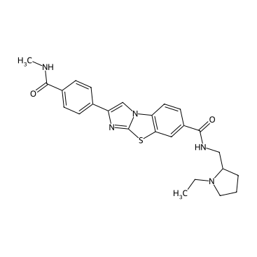 CCN1CCCC1CNC(=O)c1ccc2c(c1)sc1nc(-c3ccc(C(=O)NC)cc3)cn12